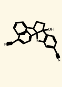 N#Cc1ccc(C23Sc4cc(C#N)ccc4C2(O)CCC3c2ccccc2)cc1